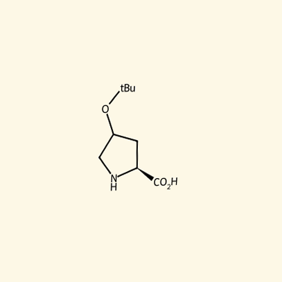 CC(C)(C)OC1CN[C@H](C(=O)O)C1